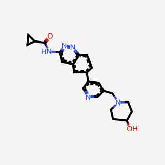 O=C(Nc1cc2cc(-c3cncc(CN4CCC(O)CC4)c3)ccc2nn1)C1CC1